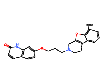 COc1cccc2c3c(oc12)CN(CCCOc1ccc2ccc(=O)[nH]c2c1)CC3